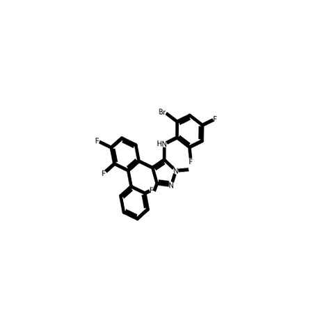 Cc1nn(C)c(Nc2c(F)cc(F)cc2Br)c1-c1ccc(F)c(F)c1-c1ccccc1F